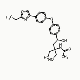 CCc1nc(-c2ccc(Oc3ccc(C(O)CC(CO)(CO)NC(C)=O)cc3)cc2)co1